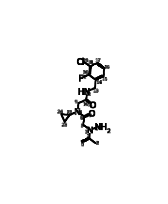 C=C(C)N(N)CC(=O)N(CC(=O)NCc1cccc(Cl)c1F)C1CC1